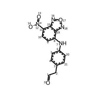 O=[C]Cc1ccc(Nc2ccc([N+](=O)[O-])c3nonc23)cc1